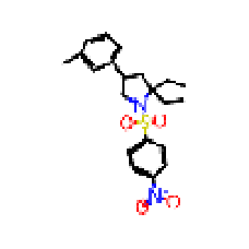 CCC1(CC)CC(c2cccc(C)c2)CN1S(=O)(=O)c1ccc([N+](=O)[O-])cc1